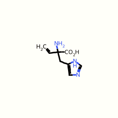 C=CC(N)(Cc1cnc[nH]1)C(=O)O